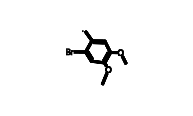 [CH2]c1cc(OC)c(OC)cc1Br